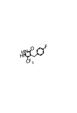 O=c1[nH][nH]c(C(F)(F)F)c1Cc1ccc(F)cc1